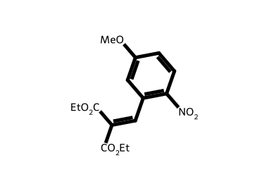 CCOC(=O)C(=Cc1cc(OC)ccc1[N+](=O)[O-])C(=O)OCC